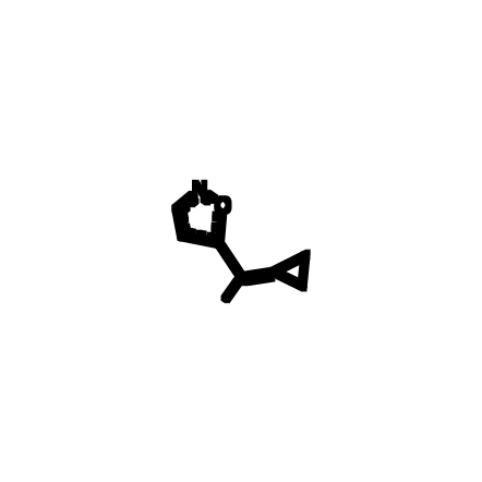 CC(=C1CC1)c1ccno1